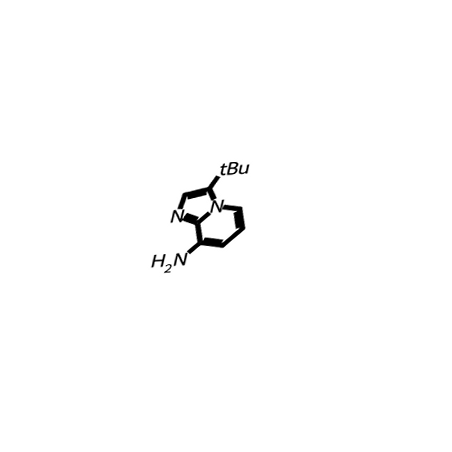 CC(C)(C)c1cnc2c(N)cccn12